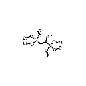 CCCC(C[Si](OCC)(OCC)OCC)[Si](OCC)(OCC)OCC